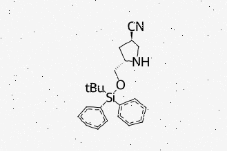 CC(C)(C)[Si](OC[C@@H]1C[C@@H](C#N)CN1)(c1ccccc1)c1ccccc1